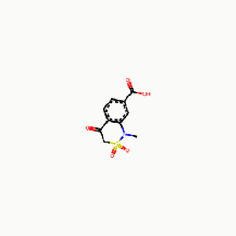 CN1c2cc(C(=O)O)ccc2C(=O)CS1(=O)=O